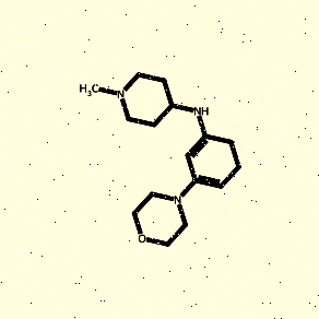 CN1CCC(NC2=CC(N3CCOCC3)=CC[CH]2)CC1